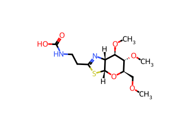 COC[C@H]1O[C@@H]2SC(CCNC(=O)O)=N[C@@H]2[C@@H](OC)[C@@H]1OC